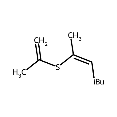 C=C(C)S/C(C)=C\C(C)CC